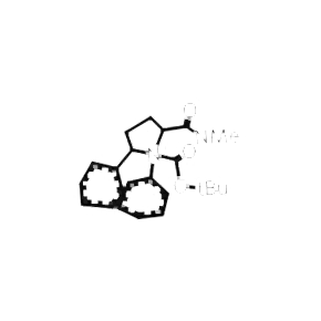 CNC(=O)C1CCC(c2ccccc2)[N+]1(C(=O)OC(C)(C)C)c1ccccc1